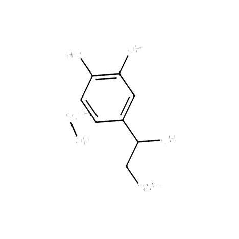 CNCC(O)c1ccc(O)c(O)c1.O=S(=O)(O)O